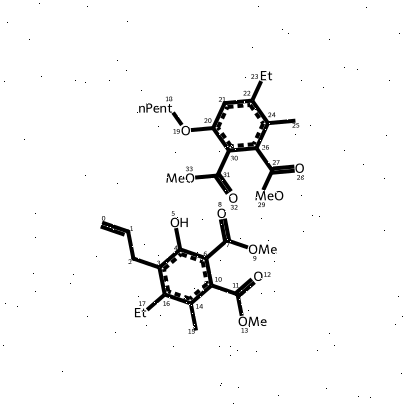 C=CCc1c(O)c(C(=O)OC)c(C(=O)OC)c(C)c1CC.CCCCCOc1cc(CC)c(C)c(C(=O)OC)c1C(=O)OC